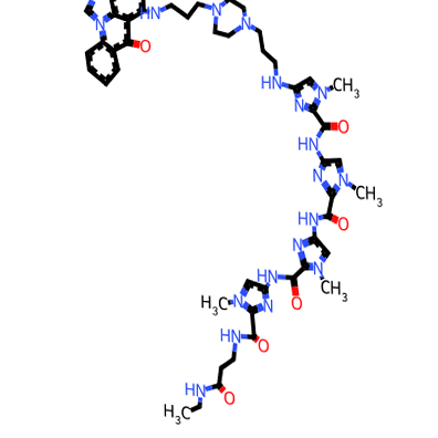 CCNC(=O)CCNC(=O)c1nc(NC(=O)c2nc(NC(=O)c3nc(NC(=O)c4nc(NCCCN5CCN(CCCNc6ccc7ncn8c9ccccc9c(=O)c6c78)CC5)cn4C)cn3C)cn2C)cn1C